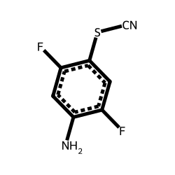 N#CSc1cc(F)c(N)cc1F